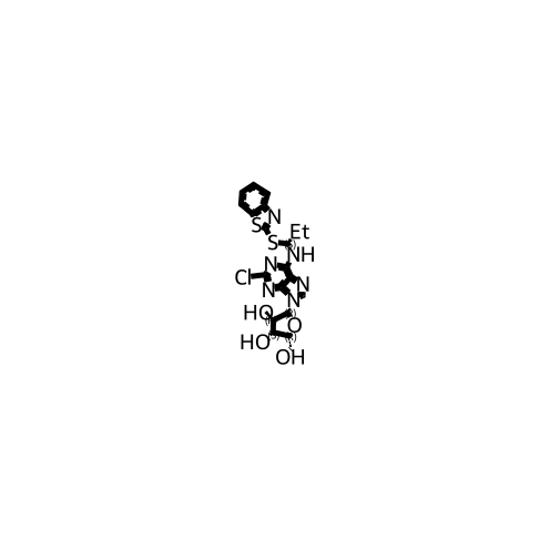 CC[C@@H](Nc1nc(Cl)nc2c1ncn2[C@@H]1O[C@H](CO)[C@@H](O)[C@H]1O)Sc1nc2ccccc2s1